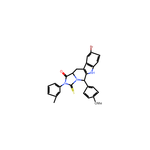 COc1ccc(C2c3[nH]c4ccc(Br)cc4c3CC3C(=O)N(c4cccc(C)c4)C(=S)N32)cc1